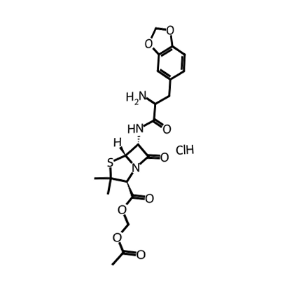 CC(=O)OCOC(=O)[C@@H]1N2C(=O)[C@@H](NC(=O)C(N)Cc3ccc4c(c3)OCO4)[C@H]2SC1(C)C.Cl